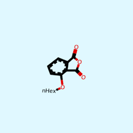 [CH2]CCCCCOc1cccc2c1C(=O)OC2=O